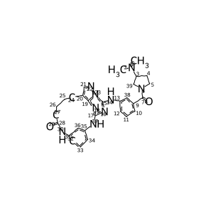 CN(C)C1CCN(C(=O)c2cccc(Nc3nc4nc5c(cnn35)CCCCC(=O)Nc3cccc(c3)N4)c2)C1